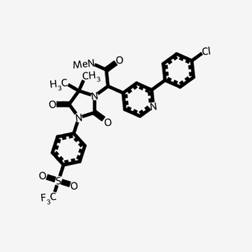 CNC(=O)C(c1ccnc(-c2ccc(Cl)cc2)c1)N1C(=O)N(c2ccc(S(=O)(=O)C(F)(F)F)cc2)C(=O)C1(C)C